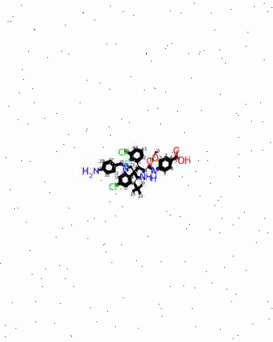 COc1cc(C(=O)O)ccc1NC(=O)[C@@H]1N[C@@H](CC(C)(C)C)[C@@]2(CN(Cc3ccc(N)cc3)c3cc(Cl)ccc32)[C@H]1c1cccc(Cl)c1F